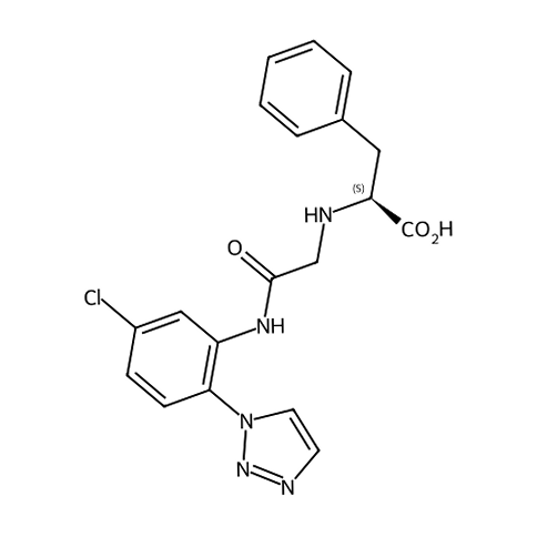 O=C(CN[C@@H](Cc1ccccc1)C(=O)O)Nc1cc(Cl)ccc1-n1ccnn1